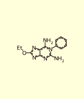 CCOc1nc2nc(N)n(-c3ccccc3)c(N)c-2n1